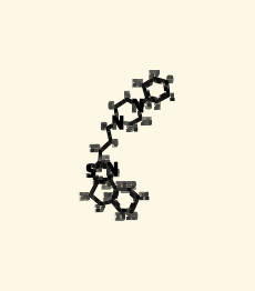 c1ccc(N2CCN(CCCc3nc4c(s3)CCc3ccccc3-4)CC2)cc1